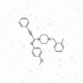 COc1ccc(/N=C(/C#Cc2ccccc2)N2CCN(Cc3ccccc3C)CC2)cc1